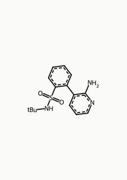 CC(C)(C)NS(=O)(=O)c1ccccc1-c1cccnc1N